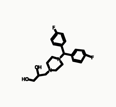 OCC(O)CN1CCN(C(c2ccc(F)cc2)c2ccc(F)cc2)CC1